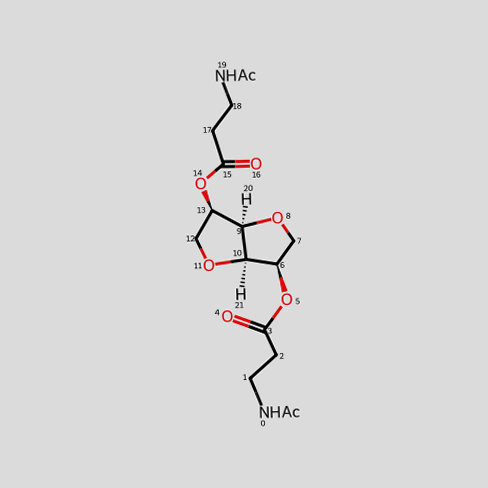 CC(=O)NCCC(=O)O[C@@H]1CO[C@H]2[C@@H]1OC[C@H]2OC(=O)CCNC(C)=O